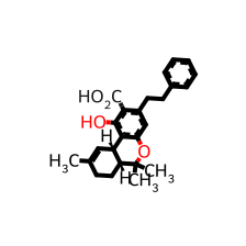 CC1=C[C@@H]2c3c(cc(CCc4ccccc4)c(C(=O)O)c3O)OC(C)(C)[C@@H]2CC1